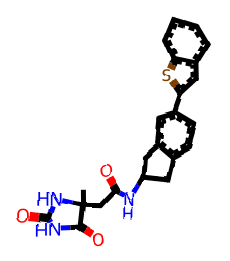 CC1(CC(=O)NC2Cc3ccc(-c4cc5ccccc5s4)cc3C2)NC(=O)NC1=O